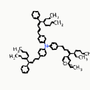 C=C/C=C\C(=C/C)C(=CC=Cc1ccc(N(c2ccc(C=CC=C(C(/C=C\C=C)=C/C=C)c3ccccc3)cc2)c2ccc(C=CC=C(C(/C=C\C=C)=C/C=C)c3ccccc3)cc2)cc1)C(/C=C\C)=C/C=C\C